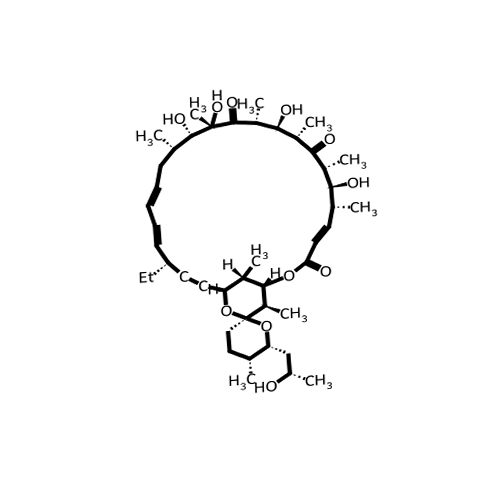 CC[C@@H]1/C=C/C=C/C[C@H](C)[C@H](O)[C@](C)(O)C(=O)[C@H](C)[C@@H](O)[C@H](C)C(=O)[C@H](C)[C@@H](O)[C@H](C)/C=C/C(=O)O[C@H]2[C@@H](C)[C@@H](CC1)O[C@@]1(CC[C@@H](C)[C@@H](C[C@H](C)O)O1)[C@@H]2C